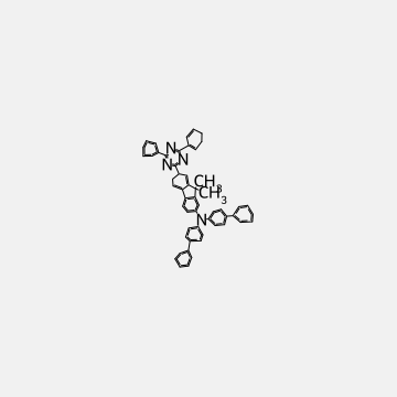 CC1(C)C2=CC(c3nc(C4=CCCC=C4)nc(-c4ccccc4)n3)CC=C2c2ccc(N(c3ccc(-c4ccccc4)cc3)c3ccc(-c4ccccc4)cc3)cc21